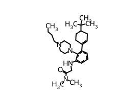 CCCCN1CCN(c2c(NCC(=O)N(C)C)cccc2C2=CCC(C(C)(C)C)CC2)CC1